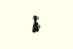 C/C=C1/C(=O)C2C3CCC(CCCC(=O)OC)[C@@]3(C)CCC2[C@@]2(C)CCCC[C@@H]12